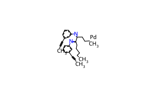 CC#Cc1cccc(N=C(CCCC)C(CCCCC)=Nc2cccc(C#CC)c2)c1.[Pd]